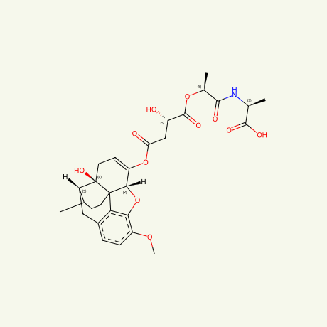 COc1ccc2c3c1O[C@H]1C(OC(=O)C[C@H](O)C(=O)O[C@@H](C)C(=O)N[C@@H](C)C(=O)O)=CC[C@@]4(O)[C@@H](C2)C(C)CCC314